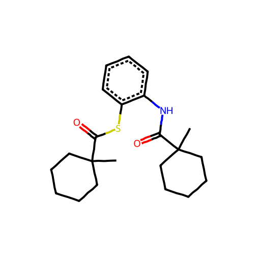 CC1(C(=O)Nc2ccccc2SC(=O)C2(C)CCCCC2)CCCCC1